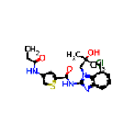 C=CC(=O)Nc1csc(C(=O)Nc2nc3cccc(Cl)c3n2CC(C)(C)O)c1